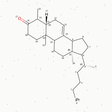 CC(C)CCC[C@@H](C)C1CCC2C3=CC[C@H]4C(C)C(=O)CCC4(C)C3CC[C@@]21C